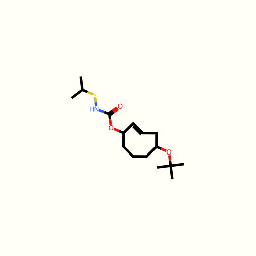 CC(C)SNC(=O)OC1/C=C/CC(OC(C)(C)C)CCC1